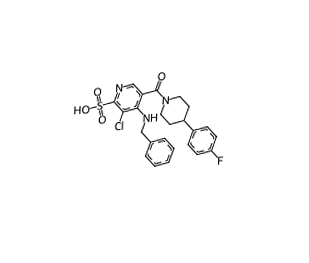 O=C(c1cnc(S(=O)(=O)O)c(Cl)c1NCc1ccccc1)N1CCC(c2ccc(F)cc2)CC1